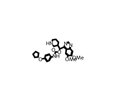 COc1cc2ncnc(C(OC(=O)Nc3ccc(OC4CCCC4)cc3)C3CCCNC3)c2cc1OC